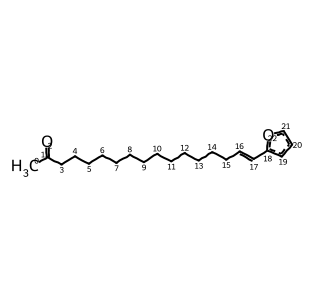 CC(=O)CCCCCCCCCCCCCC=Cc1ccco1